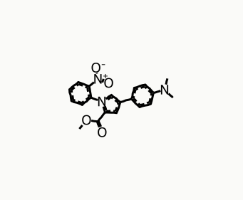 COC(=O)c1cc(-c2ccc(N(C)C)cc2)cn1-c1ccccc1[N+](=O)[O-]